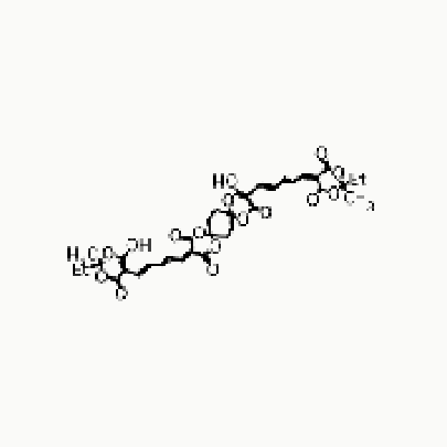 CCC1(C)OC(=O)C(=C/C=C/C=C/C2=C(O)OC3(CCC4(CC3)OC(=O)C(=C/C=C/C=C/C3=C(O)OC(C)(CC)OC3=O)C(=O)O4)OC2=O)C(=O)O1